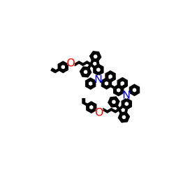 C=Cc1ccc(OCCCCC2(c3ccccc3)c3ccccc3-c3ccc(N(c4ccccc4)c4ccc(-c5ccc(N(c6ccccc6)c6ccc7c(c6)C(CCCCOc6ccc(C=C)cc6)(c6ccccc6)c6ccccc6-7)c6ccccc56)c5ccccc45)cc32)cc1